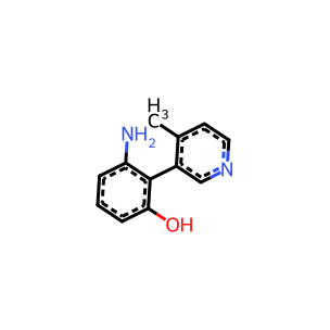 Cc1ccncc1-c1c(N)cccc1O